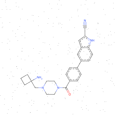 N#Cc1cc2cc(-c3ccc(C(=O)N4CCN(CC5(N)CCC5)CC4)cc3)ccc2[nH]1